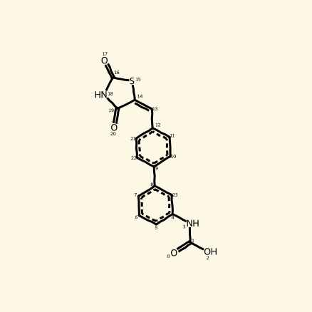 O=C(O)Nc1cccc(-c2ccc(/C=C3/SC(=O)NC3=O)cc2)c1